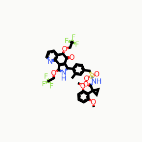 COc1cccc(OC)c1C1(C(=O)NS(=O)(=O)Cc2ccc(C3NC(OCC(F)(F)F)C4=C3C(=O)C(OCC(F)(F)F)c3cccnc34)c(C)c2)CC1